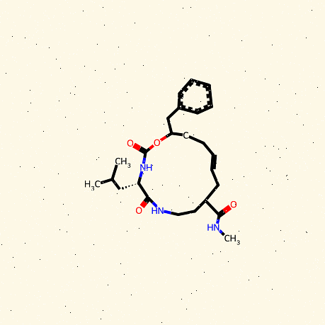 CNC(=O)C1C/C=C/CCC(Cc2ccccc2)OC(=O)N[C@@H](CC(C)C)C(=O)NCC1